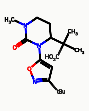 CN1CCC(C(C)(C)C(=O)O)N(c2cc(C(C)(C)C)no2)C1=O